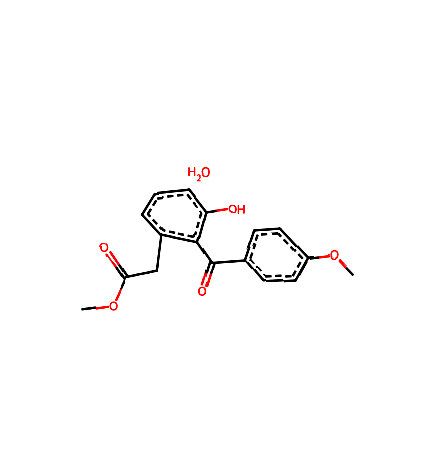 COC(=O)Cc1cccc(O)c1C(=O)c1ccc(OC)cc1.O